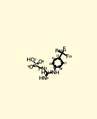 N=C(NCS(=O)(=O)O)Nc1ccc(C(F)(F)F)cc1